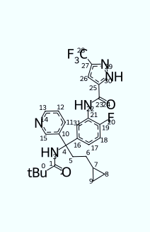 CC(C)(C)C(=O)NC(CCC1CC1)(c1cccnc1)c1ccc(F)c(NC(=O)c2cc(C(F)(F)F)n[nH]2)c1